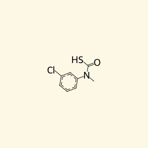 CN(C(=O)S)c1cccc(Cl)c1